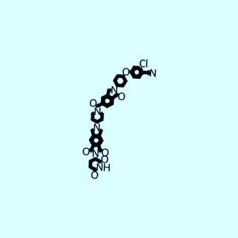 N#Cc1ccc(O[C@H]2CC[C@H](N3Cc4cc(C(=O)N5CCC(N6Cc7cc8c(cc7C6)C(=O)N(C6CCC(=O)NC6=O)C8=O)CC5)ccc4C3=O)CC2)cc1Cl